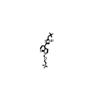 CC(C)(C)Cc1nc(-c2ccnc3c2ccn3COCC[Si](C)(C)C)c[nH]1